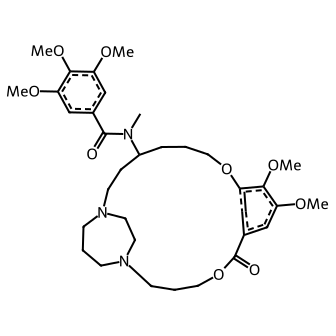 COc1cc(C(=O)N(C)C2CCCOc3cc(cc(OC)c3OC)C(=O)OCCCN3CCCN(CC2)CC3)cc(OC)c1OC